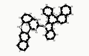 c1ccc2cc3c(cc2c1)Oc1cccc2nc(-n4c5ccccc5c5c6ccc7ccccc7c6c6ccccc6c54)nc-3c12